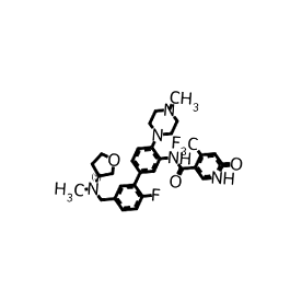 CN1CCN(c2ccc(-c3cc(CN(C)[C@H]4CCOC4)ccc3F)cc2NC(=O)c2c[nH]c(=O)cc2C(F)(F)F)CC1